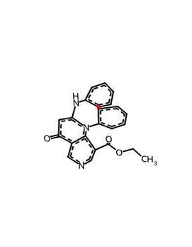 CCOC(=O)c1cncc2c(=O)cc(Nc3ccccc3)n(-c3ccccc3)c12